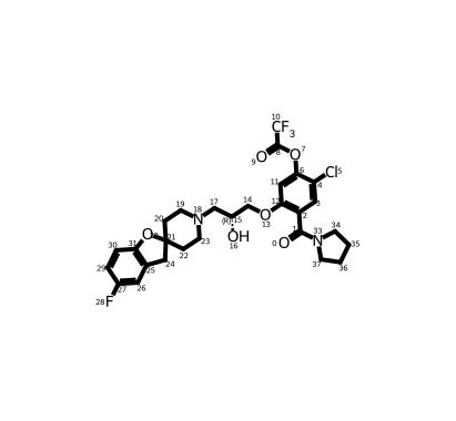 O=C(c1cc(Cl)c(OC(=O)C(F)(F)F)cc1OC[C@H](O)CN1CCC2(CC1)Cc1cc(F)ccc1O2)N1CCCC1